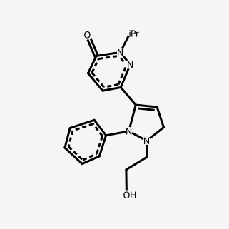 CC(C)n1nc(C2=CCN(CCO)N2c2ccccc2)ccc1=O